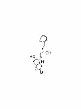 O=C1C[C@H]2C(C[C@@H](O)[C@@H]2/C=C/[C@@H](O)CCc2ccccc2)O1